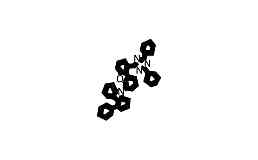 c1ccc(-c2nc(-c3ccccc3)nc(-c3cccc4oc5c(-n6c7ccccc7c7c(-c8ccccc8)cccc76)cccc5c34)n2)cc1